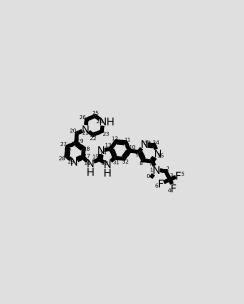 CN(CC(F)(F)F)c1cc(-c2ccc3nc(Nc4cc(CN5CCNCC5)ccn4)[nH]c3c2)ncn1